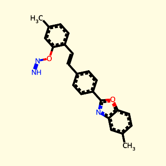 Cc1ccc(C=Cc2ccc(-c3nc4cc(C)ccc4o3)cc2)c(ON=N)c1